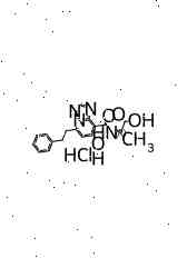 C[C@@H](NC(=O)c1c(O)cc(CCc2ccccc2)n2ncnc12)C(=O)O.Cl